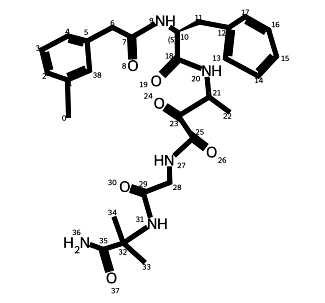 Cc1cccc(CC(=O)N[C@@H](Cc2ccccc2)C(=O)NC(C)C(=O)C(=O)NCC(=O)NC(C)(C)C(N)=O)c1